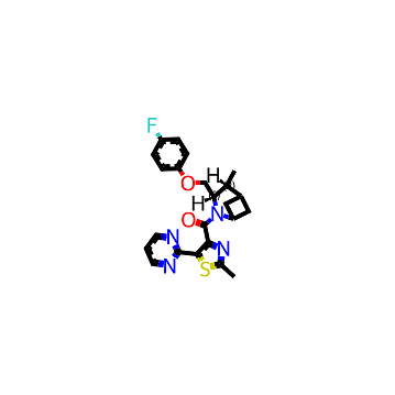 Cc1nc(C(=O)N2C3CC(C3)[C@@H](C)[C@H]2COc2ccc(F)cc2)c(-c2ncccn2)s1